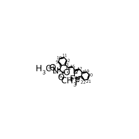 CO/N=C(/C(=O)OC)c1ccccc1/C=C/C=C/c1ccccc1C(F)(F)F